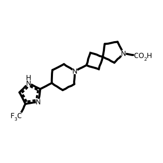 O=C(O)N1CCC2(CC(N3CCC(c4nc(C(F)(F)F)c[nH]4)CC3)C2)C1